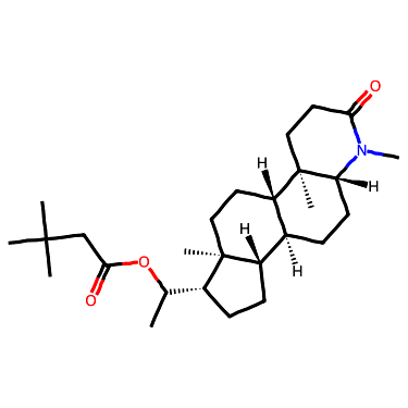 CC(OC(=O)CC(C)(C)C)[C@H]1CC[C@H]2[C@@H]3CC[C@H]4N(C)C(=O)CC[C@]4(C)[C@H]3CC[C@]12C